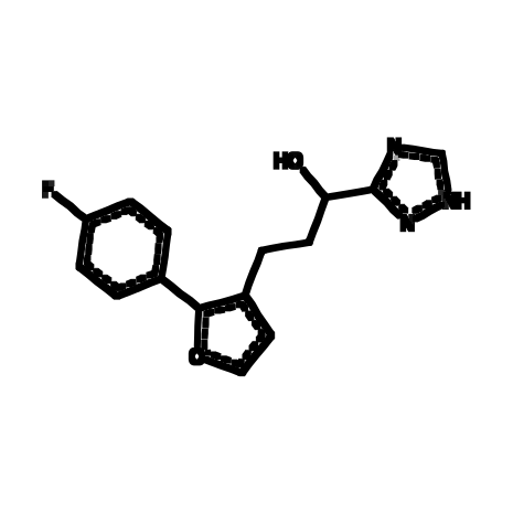 OC(CCc1ccoc1-c1ccc(F)cc1)c1nc[nH]n1